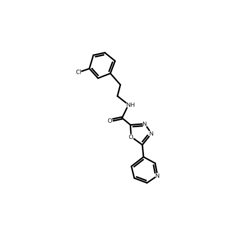 O=C(NCCc1cccc(Cl)c1)c1nnc(-c2cccnc2)o1